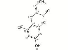 CC=C(CCl)Oc1c(Cl)cc(O)cc1Cl